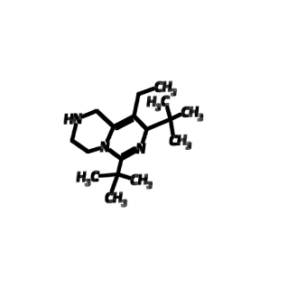 CCC1=C2CNCCN2C(C(C)(C)C)=NC1C(C)(C)C